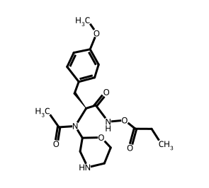 CCC(=O)ONC(=O)[C@H](Cc1ccc(OC)cc1)N(C(C)=O)C1CNCCO1